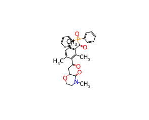 Cc1cc(C)c(C(=O)P(=O)(c2ccccc2)c2ccccc2)c(C)c1C(=O)CC1OCCN(C)C1=O